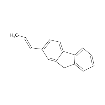 CC=Cc1ccc2c(c1)Cc1ccccc1-2